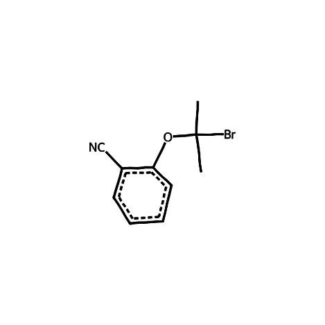 CC(C)(Br)Oc1ccccc1C#N